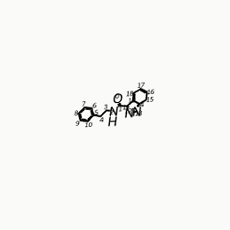 O=C(NCCc1ccccc1)C1=NN=C2CC=CC=C21